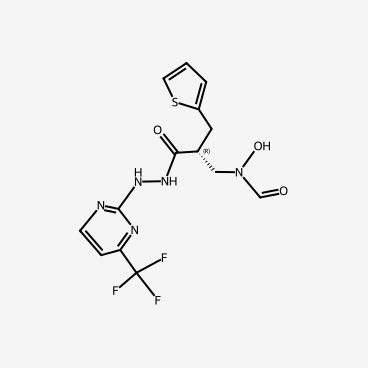 O=CN(O)C[C@@H](Cc1cccs1)C(=O)NNc1nccc(C(F)(F)F)n1